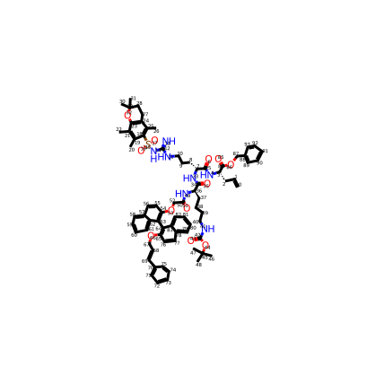 C=CC[C@H](NC(=O)[C@@H](CCCNC(=N)NS(=O)(=O)c1c(C)c(C)c2c(c1C)CCC(C)(C)O2)NC(=O)[C@@H](CCCCNC(=O)OC(C)(C)C)NC(=O)COc1ccc2ccccc2c1-c1c(OC/C=C/c2ccccc2)ccc2ccccc12)C(=O)OCc1ccccc1